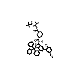 CC(C)C(OC(=O)N1CCC[C@@H](C(=O)Nc2nn(C(c3ccccc3)(c3ccccc3)c3ccccc3)c3ccc(-c4cc(C#N)ccc4Cl)cc23)C1)OC(=O)C(C)(C)C